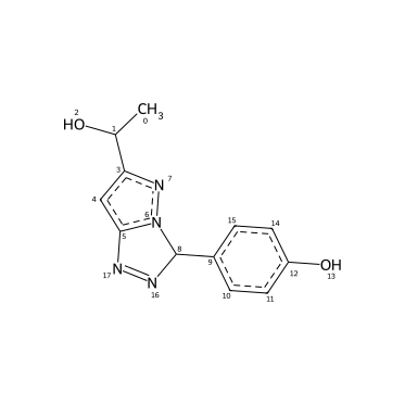 CC(O)c1cc2n(n1)C(c1ccc(O)cc1)N=N2